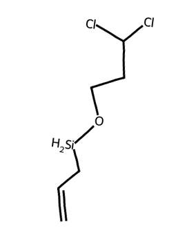 C=CC[SiH2]OCCC(Cl)Cl